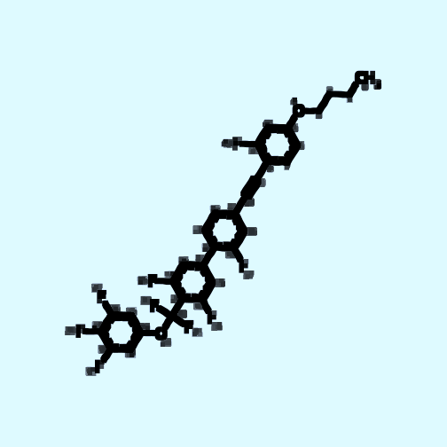 CCCCOc1ccc(C#Cc2ccc(-c3cc(F)c(C(F)(F)Oc4cc(F)c(F)c(F)c4)c(F)c3)c(F)c2)c(F)c1